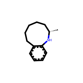 C[C@H]1CCCCCc2ccccc2N1